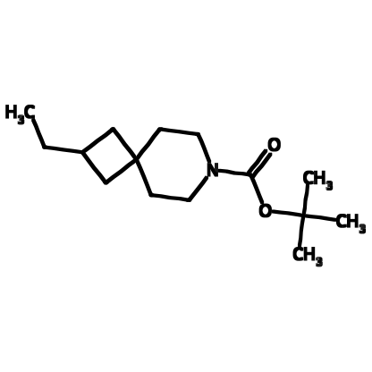 CCC1CC2(CCN(C(=O)OC(C)(C)C)CC2)C1